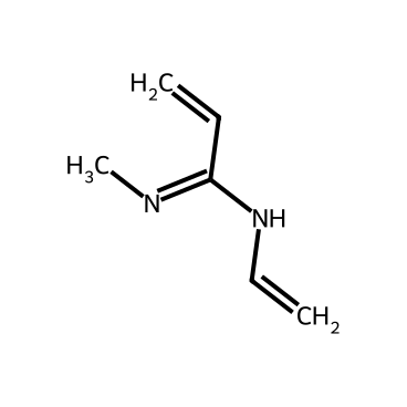 C=CNC(C=C)=NC